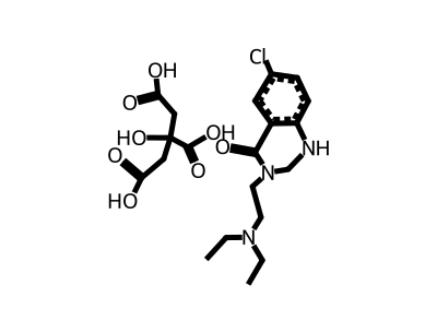 CCN(CC)CCN1CNc2ccc(Cl)cc2C1=O.O=C(O)CC(O)(CC(=O)O)C(=O)O